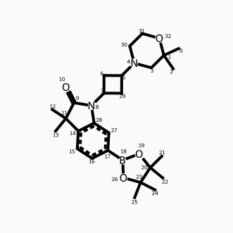 CC1(C)CN(C2CC(N3C(=O)C(C)(C)c4ccc(B5OC(C)(C)C(C)(C)O5)cc43)C2)CCO1